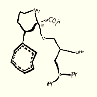 COC(CO[C@]1(C(=O)O)NCCC1c1ccccc1)CN(C(C)C)C(C)C